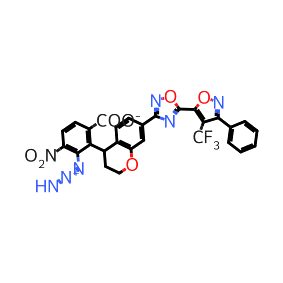 N=[N+]=Nc1c([N+](=O)[O-])ccc(C(=O)[O-])c1C1CCOc2cc(-c3noc(-c4onc(-c5ccccc5)c4C(F)(F)F)n3)ccc21